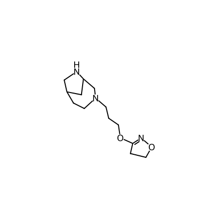 C(COC1=NOCC1)CN1CCC2CNC(C2)C1